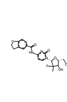 O=C(Nc1ccn([C@@H]2O[C@H](CO)C(O)C2(F)F)c(=O)n1)c1ccc2c(c1)CCO2